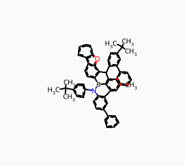 Cc1cc2c3c(c1)C(c1ccc(C(C)(C)C)cc1-c1ccccc1)c1c(ccc4c1oc1ccccc14)B3N(c1ccc(C(C)(C)C)cc1)c1ccc(-c3ccccc3)cc1-2